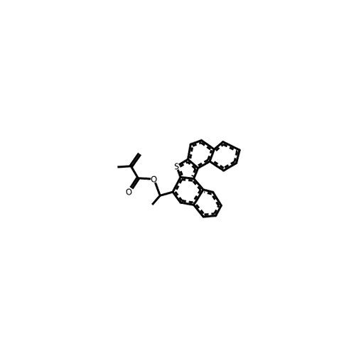 C=C(C)C(=O)OC(C)c1cc2ccccc2c2c1sc1ccc3ccccc3c12